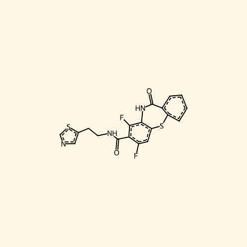 O=C1Nc2c(cc(F)c(C(=O)NCCc3cncs3)c2F)Sc2ccccc21